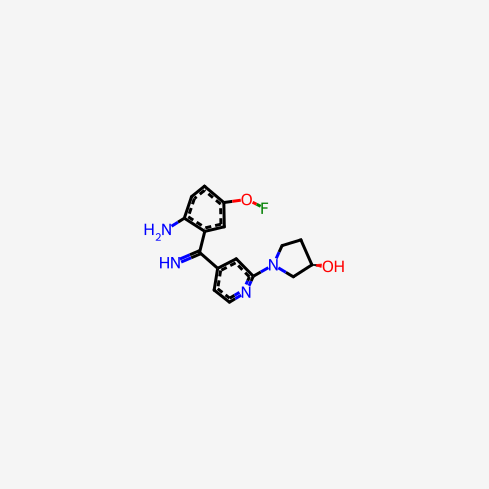 N=C(c1ccnc(N2CC[C@@H](O)C2)c1)c1cc(OF)ccc1N